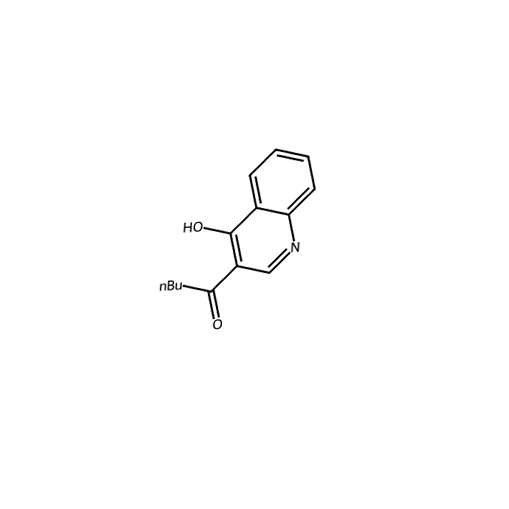 CCCCC(=O)c1cnc2ccccc2c1O